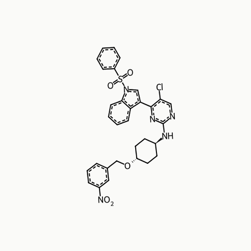 O=[N+]([O-])c1cccc(CO[C@H]2CC[C@H](Nc3ncc(Cl)c(-c4cn(S(=O)(=O)c5ccccc5)c5ccccc45)n3)CC2)c1